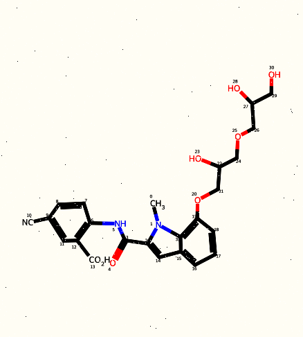 Cn1c(C(=O)Nc2ccc(C#N)cc2C(=O)O)cc2cccc(OCC(O)COCC(O)CO)c21